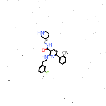 N#Cc1ccccc1-c1ccc(C(=O)NC[C@@H]2CCCNC2)c(NCCc2cccc(F)c2)n1